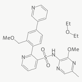 CCOCC.COCc1cc(-c2cccnc2)ccc1-c1ncccc1S(=O)(=O)Nc1ncc(C)nc1OC